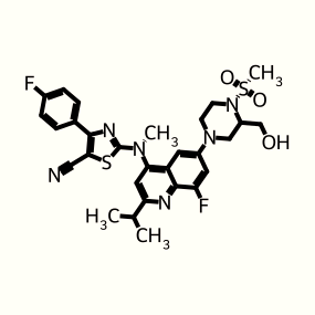 CC(C)c1cc(N(C)c2nc(-c3ccc(F)cc3)c(C#N)s2)c2cc(N3CCN(S(C)(=O)=O)C(CO)C3)cc(F)c2n1